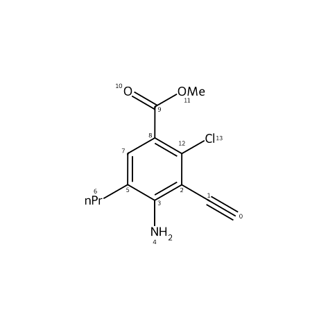 C#Cc1c(N)c(CCC)cc(C(=O)OC)c1Cl